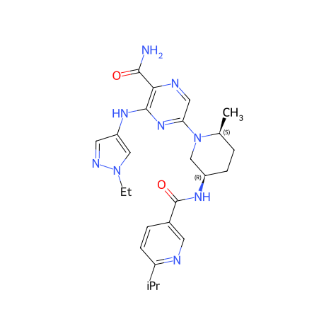 CCn1cc(Nc2nc(N3C[C@H](NC(=O)c4ccc(C(C)C)nc4)CC[C@@H]3C)cnc2C(N)=O)cn1